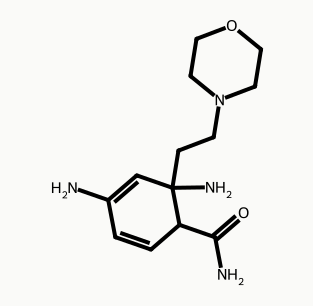 NC(=O)C1C=CC(N)=CC1(N)CCN1CCOCC1